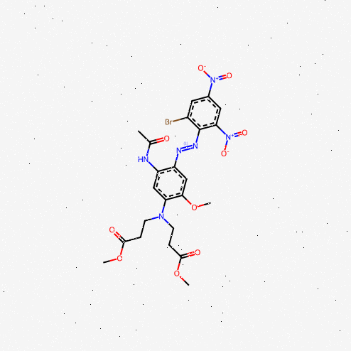 COC(=O)CCN(CCC(=O)OC)c1cc(NC(C)=O)c(/N=N/c2c(Br)cc([N+](=O)[O-])cc2[N+](=O)[O-])cc1OC